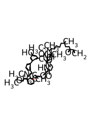 C=CC(=O)CCC(C)CCCCCN(C(C)=O)[C@H](C(=O)N[C@H]1Cc2cc(O)cc(c2)-c2ccc3c(c2)c(c(-c2ccccc2CCOC)n3CC)CC(C)(C)COC(=O)[C@@H]2CCCN(N2)C1=O)C(C)C